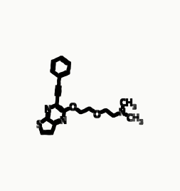 CN(C)CCOCCOc1nc2ccsc2nc1C#Cc1ccccc1